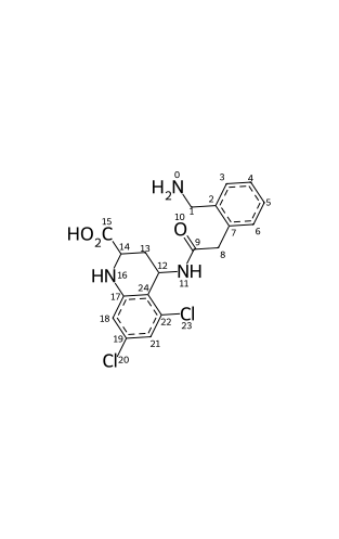 NCc1ccccc1CC(=O)NC1CC(C(=O)O)Nc2cc(Cl)cc(Cl)c21